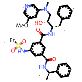 CCS(=O)(=O)Nc1cc(C(=O)N[C@@H](Cc2ccccc2)[C@H](O)CN(C)c2cncc(OC)c2)cc(C(=O)N[C@H](C)c2ccccc2)c1